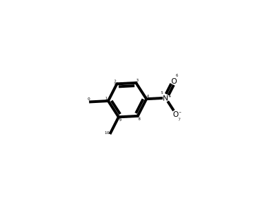 Cc1[c]cc([N+](=O)[O-])cc1C